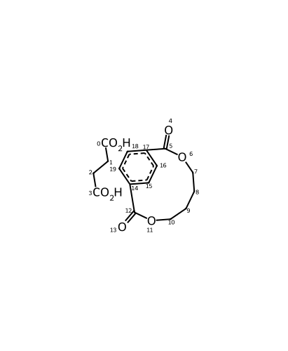 O=C(O)CCC(=O)O.O=C1OCCCCOC(=O)c2ccc1cc2